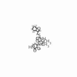 CC(C)C(NC(=O)SCc1coc2ccccc12)C(=O)NC1CCNC(=O)C1=O